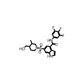 CC1CN(S(=O)(=O)c2cc(C(=O)Nc3cc(F)c(F)c(F)c3)c3cc[nH]c3c2)CCC1CO